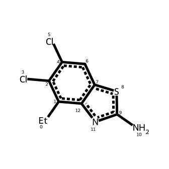 CCc1c(Cl)c(Cl)cc2sc(N)nc12